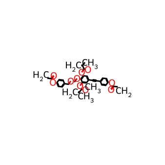 C=CC(=O)Oc1ccc(C#Cc2cc(OC(=O)C(=C)C)c(OCOCc3ccc(OC(=O)C=C)cc3)c(OC(=O)C(=C)C)c2C)cc1